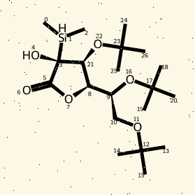 C[SiH](C)[C@@]1(O)C(=O)O[C@H]([C@H](COC(C)(C)C)OC(C)(C)C)[C@@H]1OC(C)(C)C